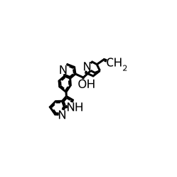 C=CC1CN2CCC1CC2C(O)c1ccnc2ccc(-c3c[nH]c4ncccc34)cc12